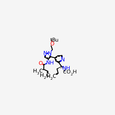 C=CC[C@H](NC(=O)O)c1cc(-c2c(NC(=O)C(C)C=C)cnn2CCOC(C)(C)C)ccn1